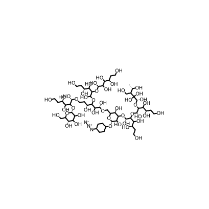 C[C@H](O)C(CO)C(O)(O)[C@H](O)OC(C(O)[C@H](O)CCO)[C@H](O)OC(C(O)[C@H](O)CCO)[C@H](O)OC1C(O)[C@H](OC2CCC(N=[N+]=[N-])CC2)OC(CO[C@@H](O)C(O)C(OC(O)C(O[C@@H](O)C(O)C(O)[C@H](O)CCO)C(O)[C@H](O)CCO)[C@H](O)CCO[C@@H](O)C(O[C@H]2OC(CO)[C@@H](O)C(O)C2O)C(O)[C@H](O)CCO)[C@H]1O